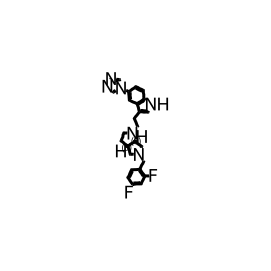 Fc1ccc(CN2C[C@@H]3CCN(CCc4c[nH]c5ccc(-n6cnnc6)cc45)[C@@H]3C2)c(F)c1